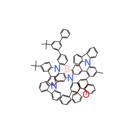 Cc1cc(-c2ccc3c(c2)oc2ccccc23)c(-c2ccc3c(c2)N(c2cc(-c4ccccc4)cc(-c4ccccc4)c2)c2cc(-n4c5ccccc5c5ccccc54)cc4c2B3c2ccc(-c3cc(-c5ccccc5)cc(C(C)(C)C)c3)cc2N4c2ccc(C(C)(C)C)cc2-c2ccccc2)c(-n2c3ccccc3c3ccccc32)c1